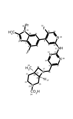 Cc1nc2c(F)cc(-c3cc(Nc4ncc(CN5C[C@]6(C)CCN(C(=O)O)C[C@H]56)cn4)ncc3F)cc2n1C(C)C